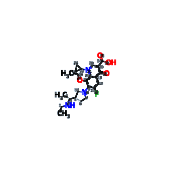 CCN[C@H](C)[C@H]1CCN(c2c(F)cc3c(=O)c(C(=O)O)cn(C4CC4)c3c2OCC)C1